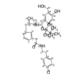 C[C@H](Cc1cccc(CC(=O)NCCc2ccc(Cl)cc2)c1)NC[C@@H](O[Si](C)(C)C(C)(C)C)c1ccc(O)c(CO)c1